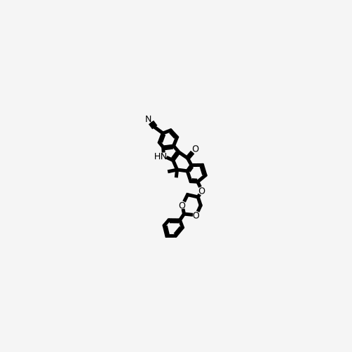 CC1(C)c2cc(OC3COC(c4ccccc4)OC3)ccc2C(=O)c2c1[nH]c1cc(C#N)ccc21